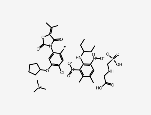 CC(C)=C1OC(=O)N(c2cc(OC3CCCC3)c(Cl)cc2F)C1=O.CCC(CC)Nc1c([N+](=O)[O-])cc(C)c(C)c1[N+](=O)[O-].C[S+](C)C.O=C(O)CNCP(=O)([O-])O